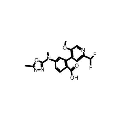 COc1cnc(C(F)F)cc1-c1cc(N(C)c2nnc(C)o2)ccc1C(=O)O